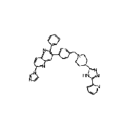 c1ccc(-c2nc3ccc(-n4ccnc4)nc3cc2-c2ccc(CN3CCC(c4nnc(-c5ccccn5)[nH]4)CC3)cc2)cc1